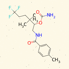 Cc1ccc(C(=O)NCC(OC(N)=O)C(C)(C)CCC(F)(F)F)cc1